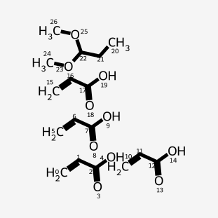 C=CC(=O)O.C=CC(=O)O.C=CC(=O)O.C=CC(=O)O.CCC(OC)OC